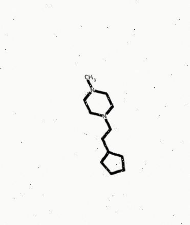 CN1CCN(CCC2CCCC2)CC1